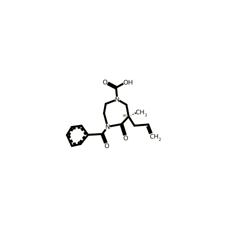 C=CC[C@]1(C)CN(C(=O)O)CCN(C(=O)c2ccccc2)C1=O